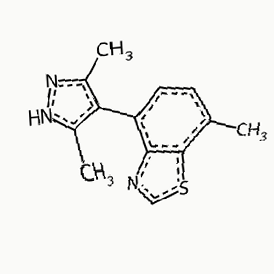 Cc1n[nH]c(C)c1-c1ccc(C)c2scnc12